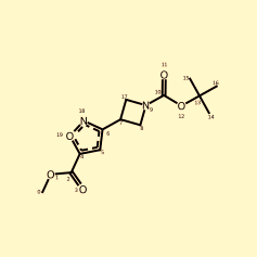 COC(=O)c1cc(C2CN(C(=O)OC(C)(C)C)C2)no1